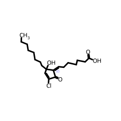 CCCCCCCCC1(O)C=C(Cl)C(=O)/C1=C\CCCCCC(=O)O